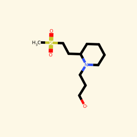 CS(=O)(=O)CCC1CCCCN1CCC[O]